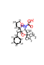 CC(C)(C)O[C@@](CNC(=O)O)(Cc1ccccc1)[C@@H]1C=CCO1